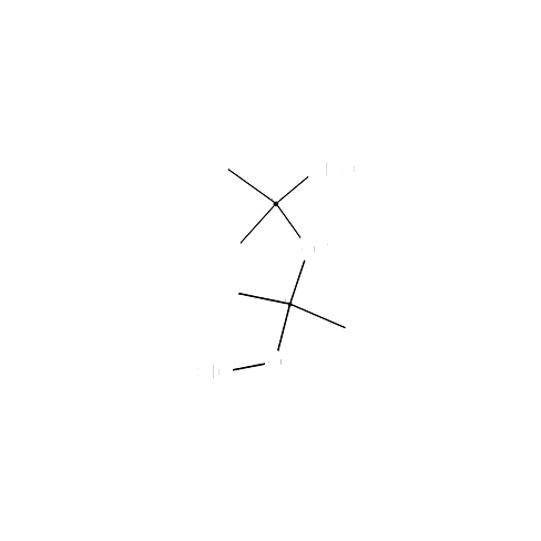 CC(C)(C=O)OC(C)(C)OC=O